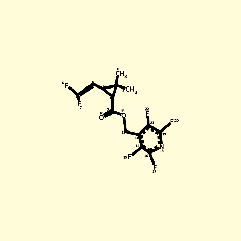 CC1(C)C(C=C(F)F)C1C(=O)OCc1c(F)c(F)nc(F)c1F